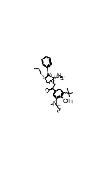 CCC[C@H]1CN(CC(=O)c2cc(N(C)SC)c(O)c(C(C)(C)C)c2)/C(=N\Br)[C@@H]1c1ccccc1